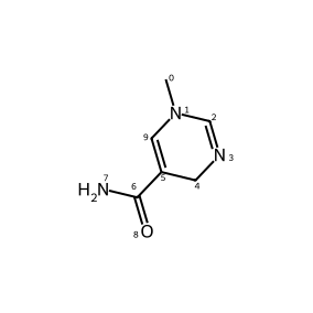 CN1C=NCC(C(N)=O)=C1